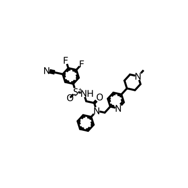 CN1CCC(c2ccc(CN(C(=O)CN[S+]([O-])c3cc(F)c(F)c(C#N)c3)c3ccccc3)nc2)CC1